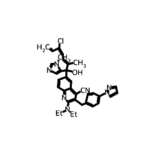 C=C/C(Cl)=C\C=C(/C)C(O)(c1ccc2nc(N(CC)CC)c(Cc3ccc(-n4cccn4)cc3)c(C#N)c2c1)c1cncn1C